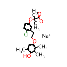 Cc1cc(OCCc2cc(OC(C)(C)C(=O)[O-])ccc2Cl)c(C)c(C)c1O.[Na+]